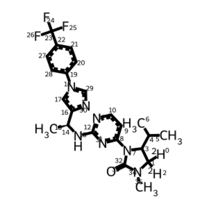 [2H]C1([2H])C(C(C)C)N(c2ccnc(N[C@@H](C)c3cn(-c4ccc(C(F)(F)F)cc4)cn3)n2)C(=O)N1C